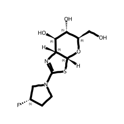 OC[C@H]1O[C@@H]2SC(N3CC[C@H](F)C3)=N[C@@H]2[C@@H](O)[C@@H]1O